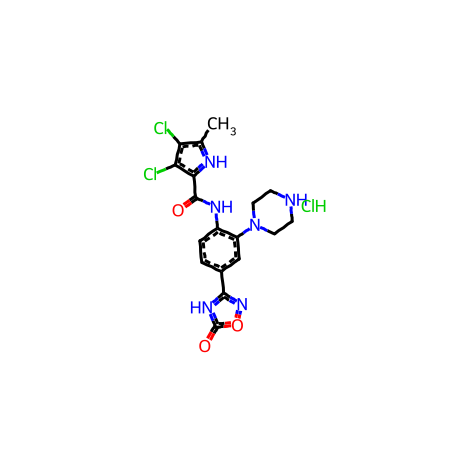 Cc1[nH]c(C(=O)Nc2ccc(-c3noc(=O)[nH]3)cc2N2CCNCC2)c(Cl)c1Cl.Cl